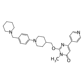 Cn1c(OCC2CCN(c3ccc(CN4CCCCC4)cc3)CC2)nc(-c2ccncc2)cc1=O